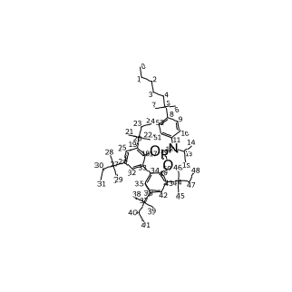 CCCCCC(C)(C)c1ccc(N(C(C)C)p2oc3c(C(C)(C)CC)cc(C(C)(C)CC)cc3c3cc(C(C)(C)CC)cc(C(C)(C)CC)c3o2)cc1